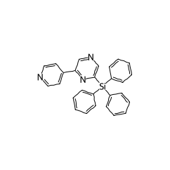 c1ccc([Si](c2ccccc2)(c2ccccc2)c2cncc(-c3ccncc3)n2)cc1